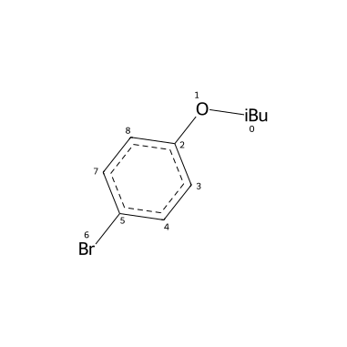 [CH2]C(CC)Oc1ccc(Br)cc1